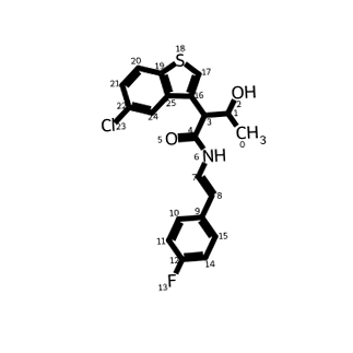 CC(O)C(C(=O)N/C=C/c1ccc(F)cc1)c1csc2ccc(Cl)cc12